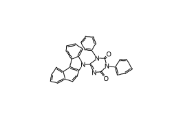 O=c1nc(-n2c3ccccc3c3c4ccccc4ccc32)n(-c2ccccc2)c(=O)n1-c1ccccc1